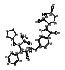 NC(=O)C(OC1CCCC1)[C@@H](C(=O)NCc1ccc2c(c1)CN(C1CCC(=O)NC1=O)C2=O)c1ccccc1